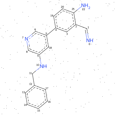 N=Cc1cc(-c2cncc(NCc3ccccc3)c2)ccc1N